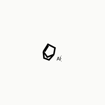 C1=C2CCC(C1)C2.[Al]